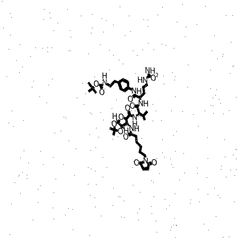 CC(C)[C@@H](NC(=O)C1O[C@@H]2OC(C)(C)O[C@@H]2[C@@H]1NC(=O)CCCCCN1C(=O)C=CC1=O)C(=O)NC(CCCNC(N)=O)C(=O)Nc1ccc(CCNC(=O)OC(C)(C)C)cc1